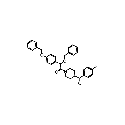 O=C(c1ccc(F)cc1)C1CCN(C(=O)C(OCc2ccccc2)c2ccc(OCc3ccccc3)cc2)CC1